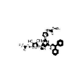 CC(C)(C)OC(=O)N[C@H]1CCN(c2nc(NCC(c3ccccc3)c3ccccc3)c3ncn([C@@H]4O[C@H](COC(=O)C(F)(F)F)[C@@H](O)[C@H]4O)c3n2)C1